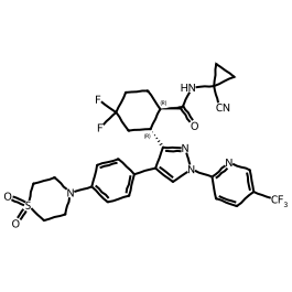 N#CC1(NC(=O)[C@@H]2CCC(F)(F)C[C@H]2c2nn(-c3ccc(C(F)(F)F)cn3)cc2-c2ccc(N3CCS(=O)(=O)CC3)cc2)CC1